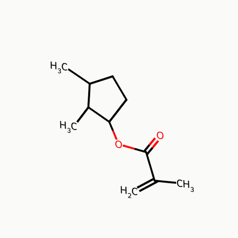 C=C(C)C(=O)OC1CCC(C)C1C